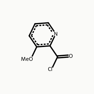 COc1cccnc1C(=O)Cl